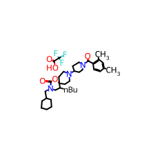 CCCCC1CN(CC2CCCCC2)C(=O)OC12CCN(C1CCN(C(=O)c3ccc(C)cc3C)CC1)CC2.O=C(O)C(F)(F)F